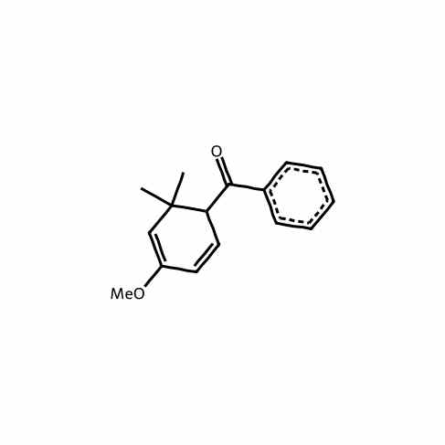 COC1=CC(C)(C)C(C(=O)c2ccccc2)C=C1